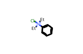 CC[N+](Cl)(CC)c1ccccc1